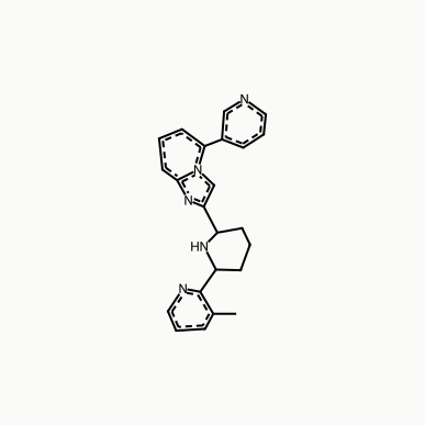 Cc1cccnc1C1CCCC(c2cn3c(-c4cccnc4)cccc3n2)N1